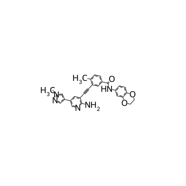 Cc1ccc(C(=O)Nc2ccc3c(c2)OCCO3)cc1C#Cc1cc(-c2cnn(C)c2)cnc1N